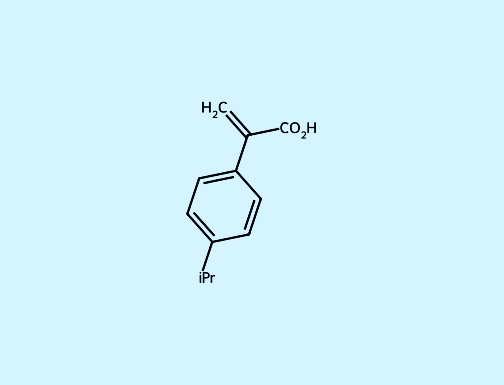 C=C(C(=O)O)c1ccc(C(C)C)cc1